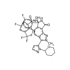 Cn1nc2c3c(c(-c4c(C(N)=O)cc(F)cc4C(F)(F)F)cc2c1-c1ccnn1C1CCCCO1)C(O)(c1cc(F)ccc1Cl)NC3=O